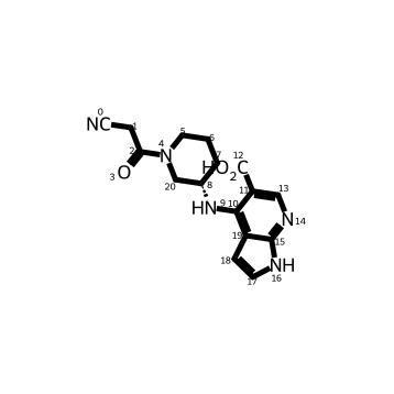 N#CCC(=O)N1CCC[C@H](Nc2c(C(=O)O)cnc3[nH]ccc23)C1